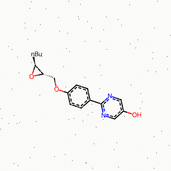 CCCC[C@@H]1O[C@H]1COc1ccc(-c2ncc(O)cn2)cc1